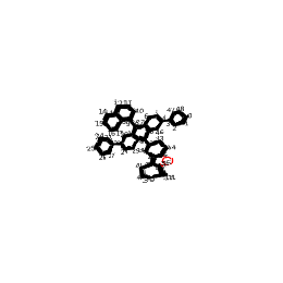 c1ccc(-c2ccc3c(-c4cccc5ccccc45)c4cc(-c5ccccc5)ccc4c(-c4ccc5oc6ccccc6c5c4)c3c2)cc1